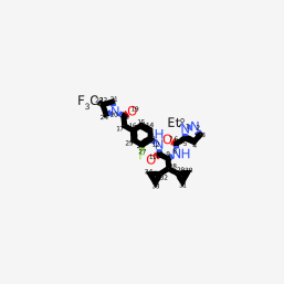 CCn1nccc1C(=O)NC(C(=O)Nc1ccc(CC(=O)N2CC(C(F)(F)F)C2)cc1F)C(C1CC1)C1CC1